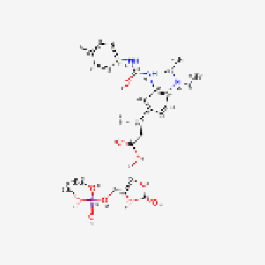 CC[C@@H](CC(=O)OCc1oc(=O)oc1COP(=O)(OC(C)(C)C)OC(C)(C)C)c1ccc(N(CC(C)C)CC(C)C)c(NC(=O)Nc2ccc(C)cc2)c1